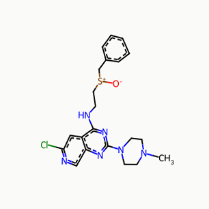 CN1CCN(c2nc(NCC[S+]([O-])Cc3ccccc3)c3cc(Cl)ncc3n2)CC1